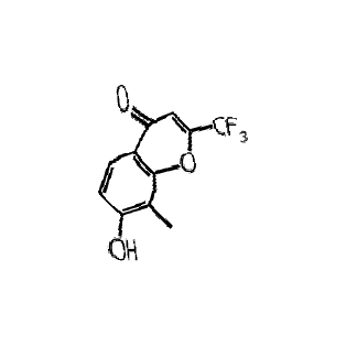 Cc1c(O)ccc2c(=O)cc(C(F)(F)F)oc12